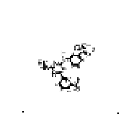 CCNc1nc(Nc2cccc(S(C)(=O)=O)c2)nc(-c2cccc(C(F)F)n2)n1